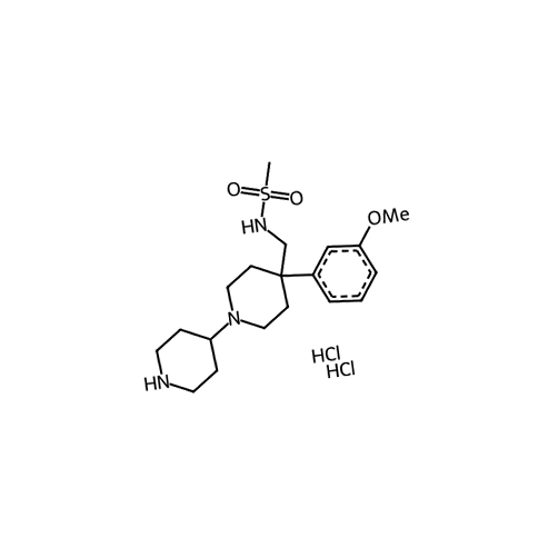 COc1cccc(C2(CNS(C)(=O)=O)CCN(C3CCNCC3)CC2)c1.Cl.Cl